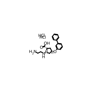 Cl.Cl.NCCNN1C[C@H](Oc2cccc(-c3ccccc3)c2)C[C@H]1C(=O)O